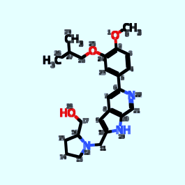 COc1ccc(-c2cc3cc(CN4CCCC4CO)[nH]c3cn2)cc1OCC(C)C